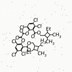 CCC1C(C)C(C)C1COC(=O)c1c(Cl)c(Cl)cc(Cl)c1OC(=O)C(=O)Oc1c(Cl)cc(Cl)c(Cl)c1C(=O)OCC1C(C)C(C)C1CC